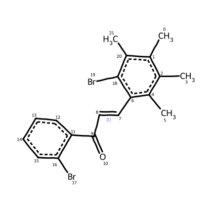 Cc1c(C)c(C)c(/C=C/C(=O)c2ccccc2Br)c(Br)c1C